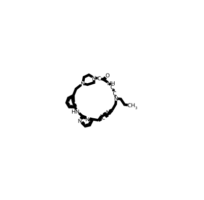 CCCN1CCNC(=O)CN2CCN(CC2)Cc2cccc(c2)Nc2nccc(n2)-c2ccc(nc2)C1